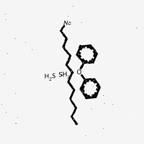 CCCCCCCCCCC[CH2][Na].S.S.c1ccc(Oc2ccccc2)cc1